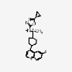 C[C@@H](Nc1nnc(C2CC2)o1)C1CCC(c2ccnc3ccc(F)cc23)CC1